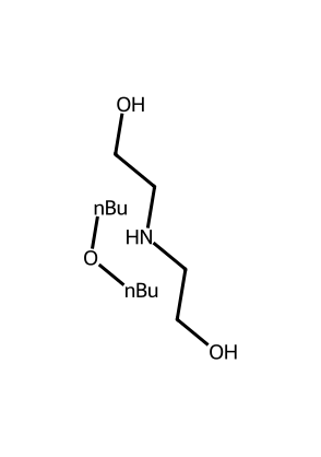 CCCCOCCCC.OCCNCCO